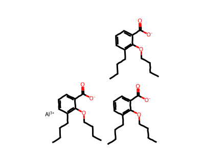 CCCCOc1c(CCCC)cccc1C(=O)[O-].CCCCOc1c(CCCC)cccc1C(=O)[O-].CCCCOc1c(CCCC)cccc1C(=O)[O-].[Al+3]